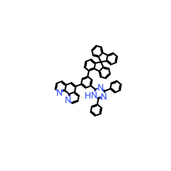 c1ccc(C2=NC(c3cc(-c4cccc5c4-c4ccccc4C54c5ccccc5-c5ccccc54)cc(-c4cc5cccnc5c5ncccc45)c3)NC(c3ccccc3)=N2)cc1